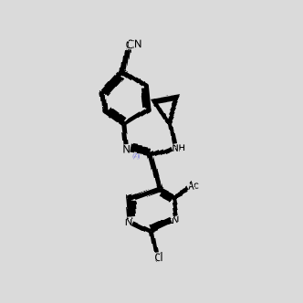 CC(=O)c1nc(Cl)ncc1/C(=N/c1ccc(C#N)cc1)NC1CC1